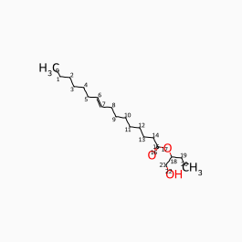 CCCCCC/C=C/CCCCCCCC(=O)OC(CC)CO